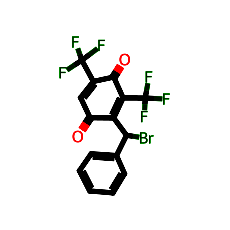 O=C1C=C(C(F)(F)F)C(=O)C(C(F)(F)F)=C1C(Br)c1ccccc1